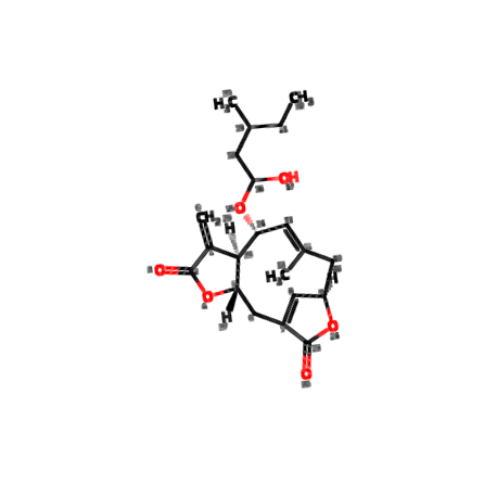 C=C1C(=O)O[C@H]2CC3=C[C@@H](C/C(C)=C/[C@@H](OC(O)CC(C)CC)[C@H]12)OC3=O